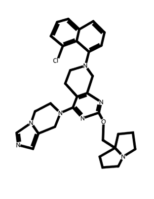 Clc1cccc2cccc(N3CCc4c(nc(OCC56CCCN5CCC6)nc4N4CCn5cncc5C4)C3)c12